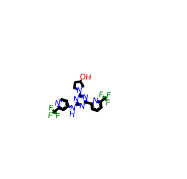 O[C@@H]1CCN(c2nc(Nc3ccnc(C(F)(F)F)c3)nc(-c3cccc(C(F)(F)F)n3)n2)C1